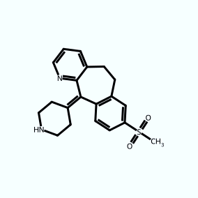 CS(=O)(=O)c1ccc2c(c1)CCc1cccnc1C2=C1CCNCC1